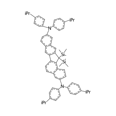 CC(C)c1ccc(N(c2ccc(C(C)C)cc2)c2ccc3cc4c(cc3c2)C([Si](C)(C)C)([Si](C)(C)C)c2c-4ccc3cc(N(c4ccc(C(C)C)cc4)c4ccc(C(C)C)cc4)ccc23)cc1